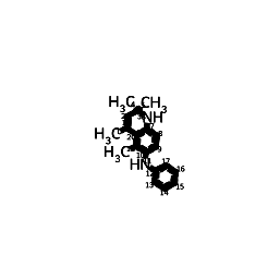 CC1=CC(C)(C)Nc2ccc(Nc3ccccc3)c(C)c21